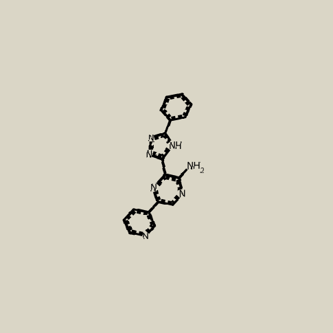 Nc1ncc(-c2cccnc2)nc1-c1nnc(-c2ccccc2)[nH]1